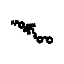 N=C(CCCOc1cccc(CN2CCCCC2)c1)NS(=O)(=O)c1ccc(N)cc1